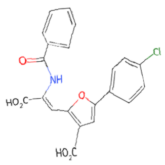 O=C(O)C(=Cc1oc(-c2ccc(Cl)cc2)cc1C(=O)O)NC(=O)c1ccccc1